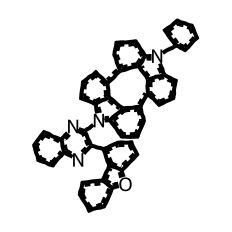 c1ccc(-n2c3cccc4c5cccc6c5c5c(cccc5n6-c5nc6ccccc6nc5-c5cccc6oc7ccccc7c56)c5cccc2c5c43)cc1